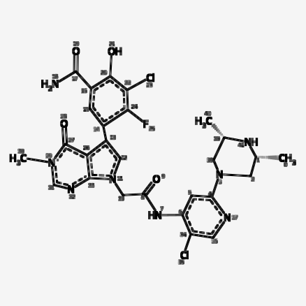 C[C@@H]1CN(c2cc(NC(=O)Cn3cc(-c4cc(C(N)=O)c(O)c(Cl)c4F)c4c(=O)n(C)cnc43)c(Cl)cn2)C[C@H](C)N1